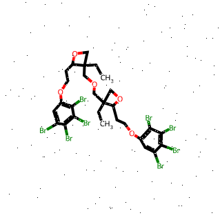 CCC1(COCC2(CC)COC2CCOc2cc(Br)c(Br)c(Br)c2Br)COC1CCOc1cc(Br)c(Br)c(Br)c1Br